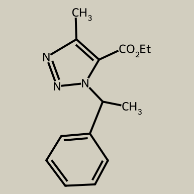 CCOC(=O)c1c(C)nnn1C(C)c1ccccc1